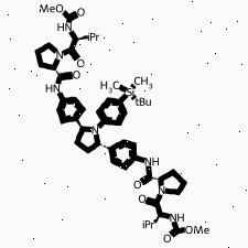 COC(=O)N[C@H](C(=O)N1CCC[C@H]1C(=O)Nc1ccc([C@@H]2CC[C@@H](c3ccc(NC(=O)[C@@H]4CCCN4C(=O)[C@@H](NC(=O)OC)C(C)C)cc3)N2c2ccc([Si](C)(C)C(C)(C)C)cc2)cc1)C(C)C